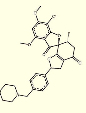 COc1cc(OC)c2c(c1Cl)O[C@]1(C2=O)C2=C(CC(c3ccc(CN4CCOCC4)cc3)O2)C(=O)C[C@H]1C